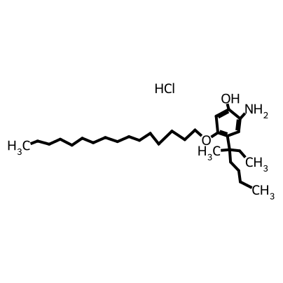 CCCCCCCCCCCCCCCCOc1cc(O)c(N)cc1C(C)(CC)CCCC.Cl